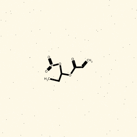 C=CC(=O)OC(CC)OP(=O)=O